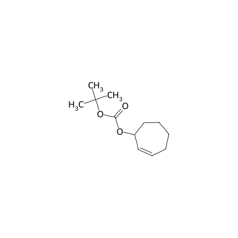 CC(C)(C)OC(=O)OC1C=CCCCC1